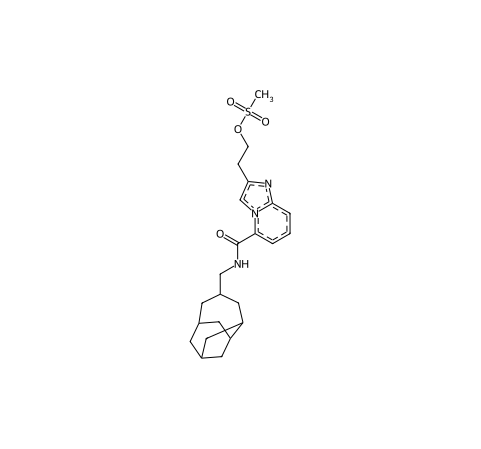 CS(=O)(=O)OCCc1cn2c(C(=O)NCC3CC4CC5CC(C3)C(C4)C5)cccc2n1